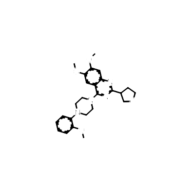 COc1cc2nc(C3CCOC3)nc(N3CCN(c4ccccc4OC)CC3)c2cc1OC